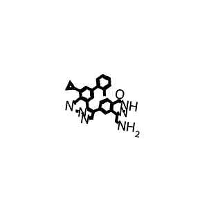 Cc1ccccc1-c1cc(-c2c(-c3ccc4c(=O)[nH]nc(CN)c4c3)cnn2C)c(C#N)c(C2CC2)c1